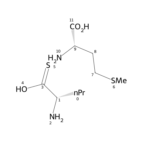 CCC[C@H](N)C(O)=S.CSCC[C@H](N)C(=O)O